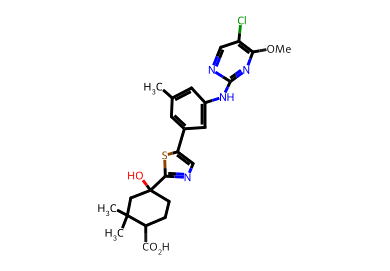 COc1nc(Nc2cc(C)cc(-c3cnc(C4(O)CCC(C(=O)O)C(C)(C)C4)s3)c2)ncc1Cl